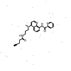 C#CCCC(=O)NCCCN(C)c1ccnc2c(NC(=O)c3ccccn3)cccc12